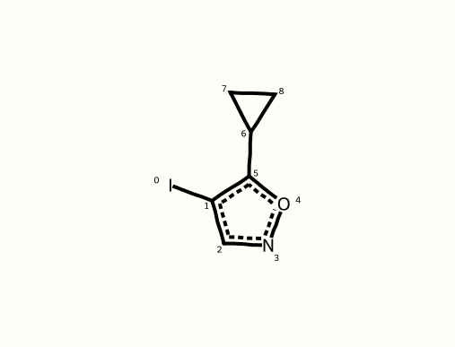 Ic1cnoc1C1CC1